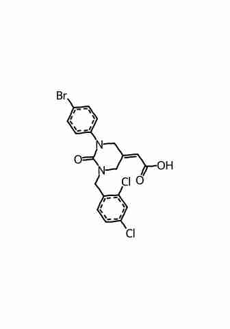 O=C(O)/C=C1\CN(Cc2ccc(Cl)cc2Cl)C(=O)N(c2ccc(Br)cc2)C1